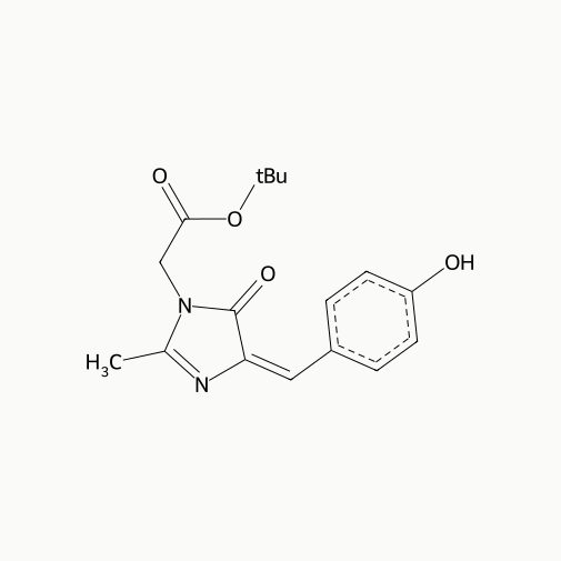 CC1=NC(=Cc2ccc(O)cc2)C(=O)N1CC(=O)OC(C)(C)C